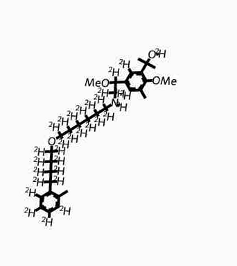 [2H]OC(C)(C)c1c([2H])c(C([2H])(OC)C([2H])([2H])N([2H])C([2H])([2H])C([2H])([2H])C([2H])([2H])C([2H])([2H])C([2H])([2H])C([2H])([2H])OC([2H])([2H])C([2H])([2H])C([2H])([2H])C([2H])([2H])c2c([2H])c([2H])c([2H])c([2H])c2C)c([2H])c(C)c1OC